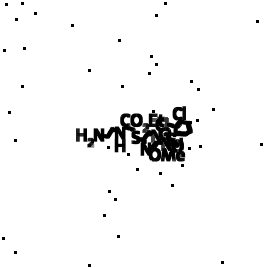 CCOC(=O)[C@H](CSc1cnc(NS(=O)(=O)c2cccc(Cl)c2Cl)c(OC)n1)NCCN